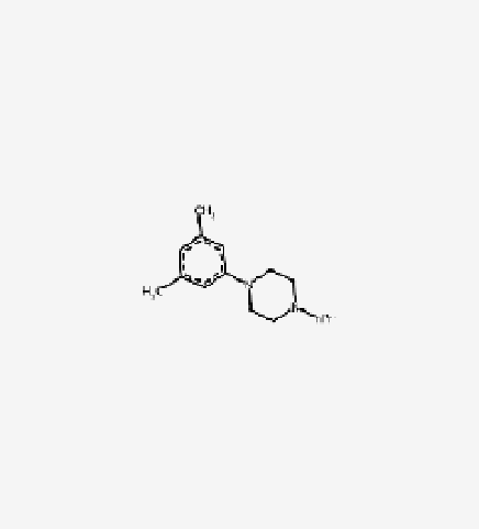 CC[CH]N1CCN(c2cc(C)cc(C)c2)CC1